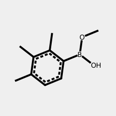 COB(O)c1ccc(C)c(C)c1C